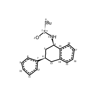 CC(C)(C)[S@@+]([O-])N[C@@H]1C[C@H](c2ccccc2)Cc2ccccc21